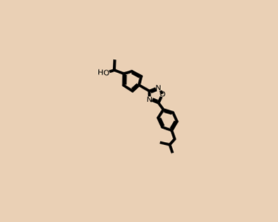 CC(C)Cc1ccc(-c2nc(-c3ccc(C(C)O)cc3)no2)cc1